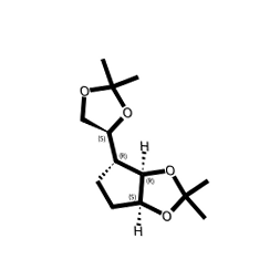 CC1(C)O[C@@H]2[C@@H]([C@H]3COC(C)(C)O3)CC[C@@H]2O1